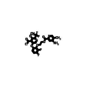 COc1c(C(F)(F)F)ncc(Oc2ccc(F)c(F)c2OCCOC(=O)c2cc(N)c(C)cn2)c1C(=O)Cl